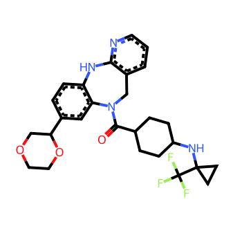 O=C(C1CCC(NC2(C(F)(F)F)CC2)CC1)N1Cc2cccnc2Nc2ccc(C3COCCO3)cc21